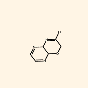 ClC1=NC2N=CC=NC2OC1